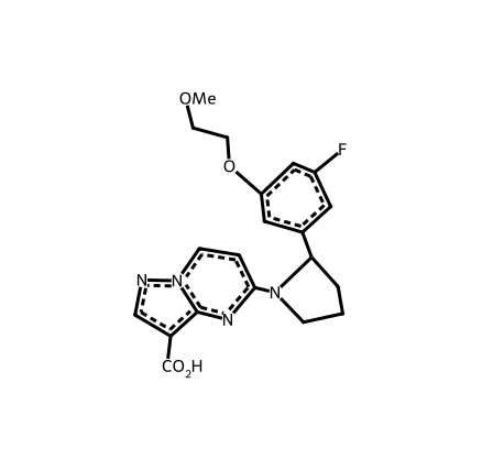 COCCOc1cc(F)cc(C2CCCN2c2ccn3ncc(C(=O)O)c3n2)c1